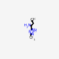 C#CC[C@H](N)c1nc(C(F)(F)F)n[nH]1